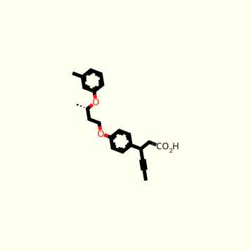 CC#CC(CC(=O)O)c1ccc(OCC[C@H](C)Oc2cccc(C)c2)cc1